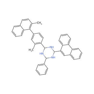 Cc1cc(-c2c(C)ccc3ccccc23)ccc1C1NC(c2ccccc2)NC(c2cc3ccccc3c3ccccc23)N1